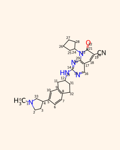 CN1CCC(c2ccc3c(c2)CC(Nc2ncc4cc(C#N)c(=O)n(C5CCCC5)c4n2)CC3)C1